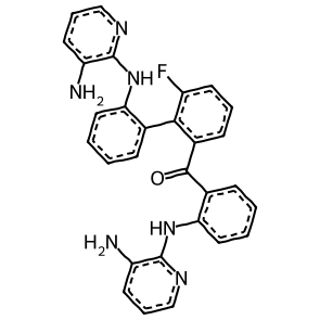 Nc1cccnc1Nc1ccccc1C(=O)c1cccc(F)c1-c1ccccc1Nc1ncccc1N